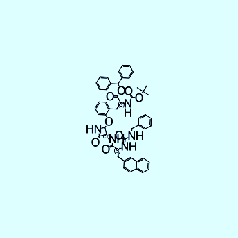 CC(C)(C)OC(=O)N[C@@H](Cc1ccccc1OC1NC(=O)[C@H]1NC(=O)[C@H](Cc1ccc2ccccc2c1)NC(=O)NCc1ccccc1)C(=O)OC(c1ccccc1)c1ccccc1